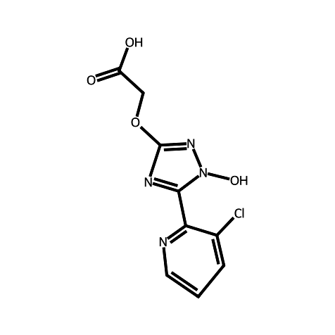 O=C(O)COc1nc(-c2ncccc2Cl)n(O)n1